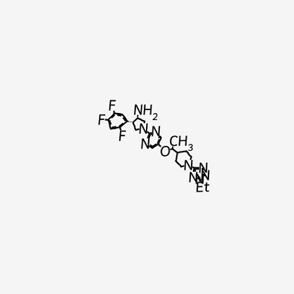 CCn1nnc(N2CCC([C@H](C)Oc3cnc(N4C[C@H](c5cc(F)c(F)cc5F)[C@@H](N)C4)nc3)CC2)n1